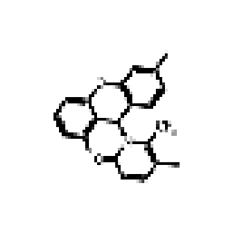 Cc1ccc2c(c1)Oc1cccc(C)c1C2n1c(C(F)(F)F)c(C)ccc1=O